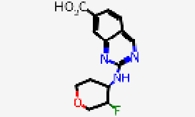 O=C(O)c1ccc2cnc(N[C@@H]3CCOC[C@@H]3F)nc2c1